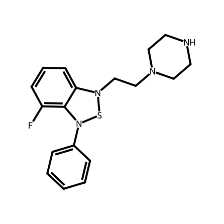 Fc1cccc2c1N(c1ccccc1)SN2CCN1CCNCC1